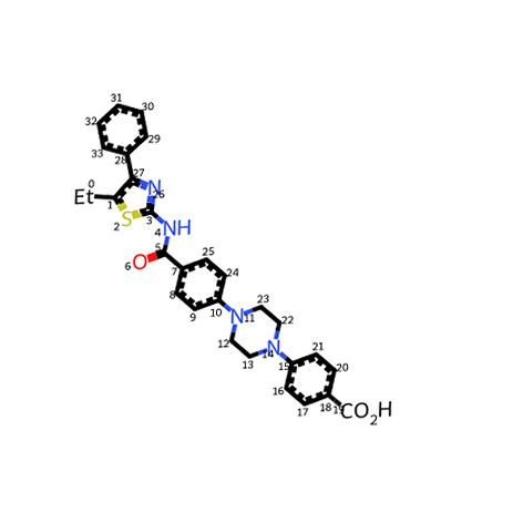 CCc1sc(NC(=O)c2ccc(N3CCN(c4ccc(C(=O)O)cc4)CC3)cc2)nc1-c1ccccc1